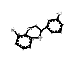 Clc1cccc(C2COc3c(Br)cccc3N2)c1